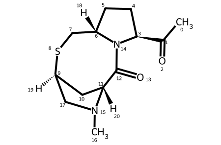 CC(=O)[C@@H]1CC[C@H]2CS[C@H]3C[C@H](C(=O)N21)N(C)C3